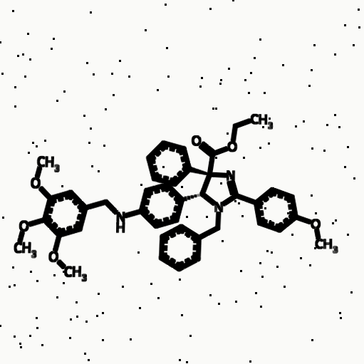 CCOC(=O)[C@]1(c2ccccc2)N=C(c2ccc(OC)cc2)N(Cc2ccccc2)[C@@H]1c1ccc(NCc2cc(OC)c(OC)c(OC)c2)cc1